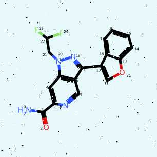 NC(=O)c1cc2c(cn1)c(-c1coc3ccccc13)nn2CC(F)F